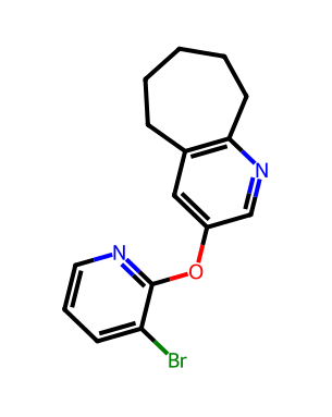 Brc1cccnc1Oc1cnc2c(c1)CCCCC2